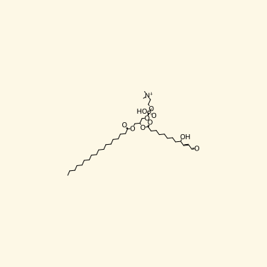 CCCCCCCCCCCCCCCCCC(=O)OCC(COP(=O)(O)OCC[N+](C)(C)C)OC(=O)CCCCCCCC(O)C=CC=O